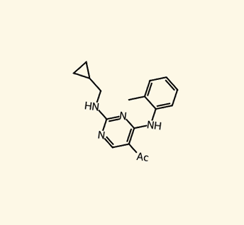 CC(=O)c1cnc(NCC2CC2)nc1Nc1ccccc1C